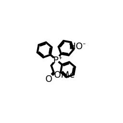 COC(=O)C[P+](c1ccccc1)(c1ccccc1)c1ccccc1.[OH-]